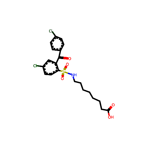 O=C(O)CCCCCCCNS(=O)(=O)c1ccc(Cl)cc1C(=O)c1ccc(Cl)cc1